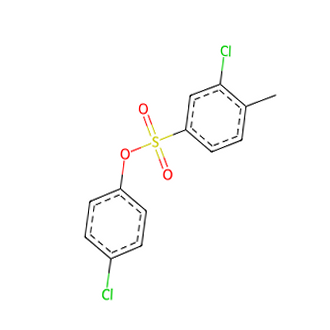 Cc1ccc(S(=O)(=O)Oc2ccc(Cl)cc2)cc1Cl